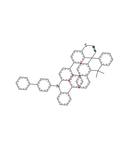 CC1(C)c2ccccc2C2(c3ccccc3Sc3ccc(-c4ccc(N(c5ccc(-c6ccccc6)cc5)c5ccccc5-c5ccccc5)cc4)cc32)c2ccc3ccccc3c21